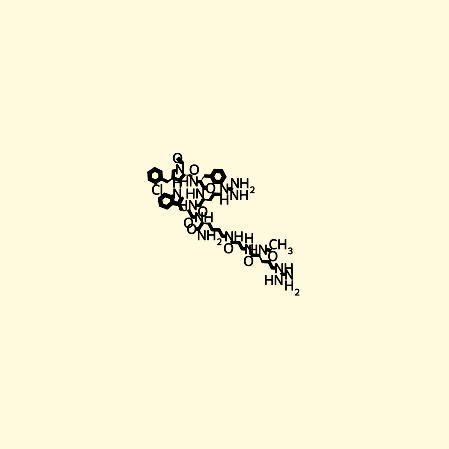 CC(=O)N[C@@H](CCCNC(=N)N)C(=O)NCCC(=O)NCCCC[C@H](NC(=O)[C@H](Cc1c[nH]c2ccccc12)NC(=O)[C@H](CCCNC(=N)N)NC(=O)[C@@H](Cc1ccccc1)NC(=O)[C@@H]1C[C@@H](Cc2ccccc2Cl)CN1C=O)C(N)=O